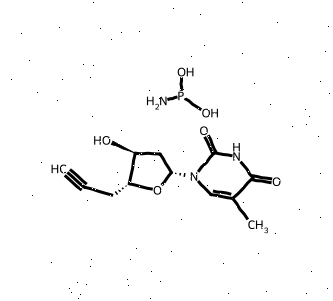 C#CC[C@H]1O[C@@H](n2cc(C)c(=O)[nH]c2=O)C[C@@H]1O.NP(O)O